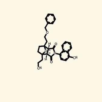 N#CCCC12CCC(CCOCc3ccccc3)(O1)[C@@H]1C(=O)N(c3ccc(C#N)c4ccccc34)C(=O)[C@@H]12